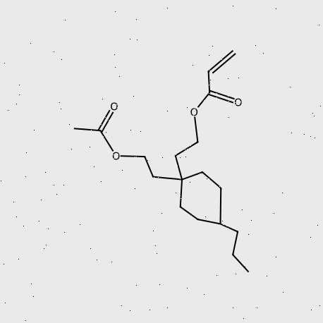 C=CC(=O)OCCC1(CCOC(C)=O)CCC(CCC)CC1